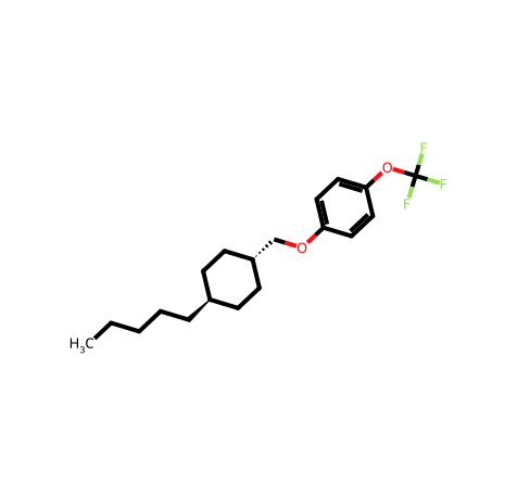 CCCCC[C@H]1CC[C@H](COc2ccc(OC(F)(F)F)cc2)CC1